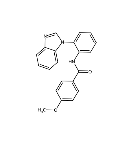 COc1ccc(C(=O)Nc2ccccc2-n2cnc3ccccc32)cc1